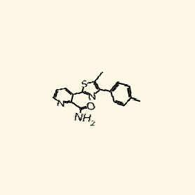 Cc1ccc(-c2nc(-c3cccnc3C(N)=O)sc2C)cc1